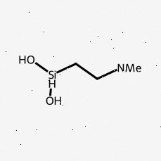 CNCC[SiH](O)O